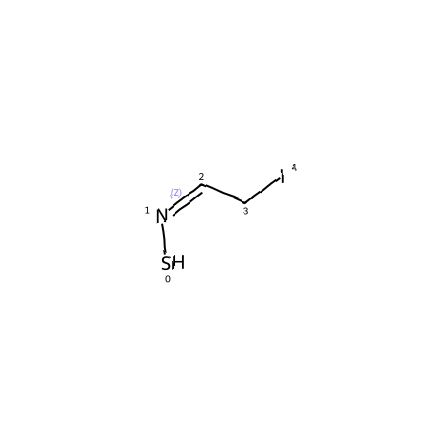 S/N=C\CI